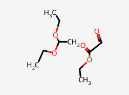 CCOC(=O)C=O.CCOC(C)OCC